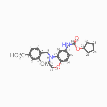 COc1cc(C(=O)O)ccc1CN1CCOc2ccc(NC(=O)OC3CCCC3)cc21